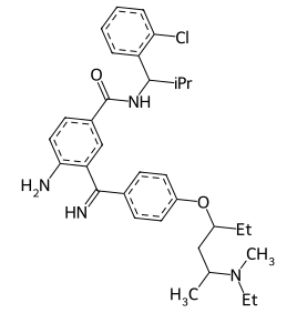 CCC(CC(C)N(C)CC)Oc1ccc(C(=N)c2cc(C(=O)NC(c3ccccc3Cl)C(C)C)ccc2N)cc1